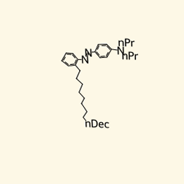 CCCCCCCCCCCCCCCCCCc1ccccc1N=Nc1ccc(N(CCC)CCC)cc1